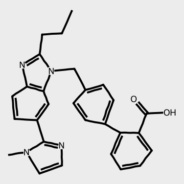 CCCc1nc2ccc(-c3nccn3C)cc2n1Cc1ccc(-c2ccccc2C(=O)O)cc1